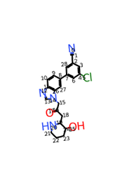 N#Cc1cc(Cl)cc(-c2ccc3ncn(CC(=O)CC4NCCCC4O)c3c2)c1